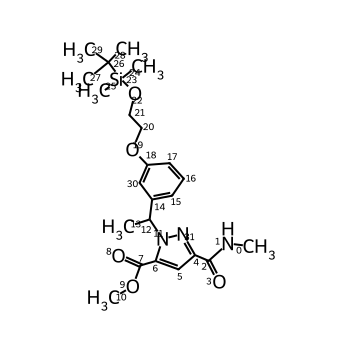 CNC(=O)c1cc(C(=O)OC)n(C(C)c2cccc(OCCO[Si](C)(C)C(C)(C)C)c2)n1